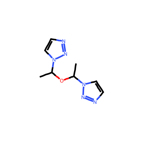 CC(OC(C)n1ccnn1)n1ccnn1